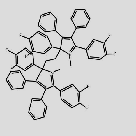 C[Si]1=C(c2ccc(F)c(F)c2)C(c2ccccc2)=C(c2ccccc2)C1(CCC1(c2ccc(F)c(F)c2)C(c2ccccc2)=C(c2ccccc2)C(c2ccc(F)c(F)c2)=[Si]1C)c1ccc(F)c(F)c1